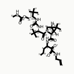 C=CCNC(=O)C(=O)C(CCC)NC(=O)[C@@H]1[C@@H]2[C@H](CN1C(=O)[C@@H](NC(=O)N[C@H](COC(=O)NC)C(C)(C)C)C(C)(C)C)C2(C)C